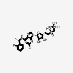 C[C@H](Nc1nc(Cl)nc2c1ncn2[C@@H]1O[C@H](CCP(=O)(O)CP(O)(O)=P)C(O)C1O)c1ccccc1F